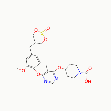 COc1cc(CC2COS(=O)OC2)ccc1Oc1ncnc(OC2CCN(C(=O)O)CC2)c1C